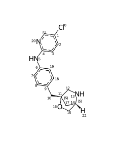 Clc1ccc(Nc2ccc(C[C@]34CN[C@H](CO3)C4)cc2)nc1